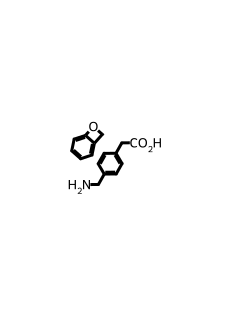 NCc1ccc(CC(=O)O)cc1.c1ccc2c(c1)CO2